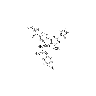 CCCNC(=O)N1CCN(c2cc(C(F)(F)F)nc(-n3ccnc3)n2)C(C(=O)NC(C)Oc2ccc(C)cc2)C1